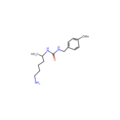 COc1ccc(CNC(=O)NC(CCCCN)C(=O)O)cc1